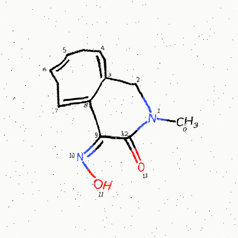 CN1Cc2ccccc2C(=NO)C1=O